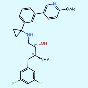 COc1ccc(-c2cccc(C3(NC[C@H](O)[C@H](Cc4cc(F)cc(F)c4)NC(C)=O)CC3)c2)cn1